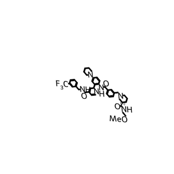 COCCNC(=O)[C@@H]1CCCN(Cc2cccc(C(=O)Nc3ccc(N4CCCCC4)cc3-c3cc(C(=O)NCc4cccc(C(F)(F)F)c4)ccn3)c2)C1